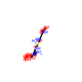 Nc1nc(=O)n([C@H]2CC(O)[C@@H](COP(=O)(O)OP(=O)(O)OP(=O)(O)O)O2)cc1CCCNC(=O)CCSSCC(N)C(=O)NCCCCCC(=O)NC(CCC(=O)O)C(=O)O